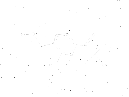 CCOCc1ccc(C(=O)C(C)(C)O)cc1C